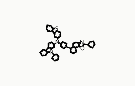 c1ccc(-c2nc3ccc4c(-c5ccc(N(c6ccc7sc8ccccc8c7c6)c6ccc7c8ccccc8n(-c8ccccc8)c7c6)cc5)cccc4c3o2)cc1